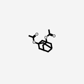 CC(=O)OC12C[C]3CC(C1)CC(OC(C)=O)(C3)C2